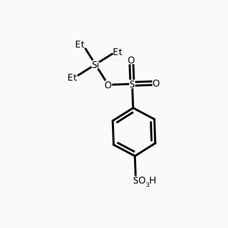 CC[Si](CC)(CC)OS(=O)(=O)c1ccc(S(=O)(=O)O)cc1